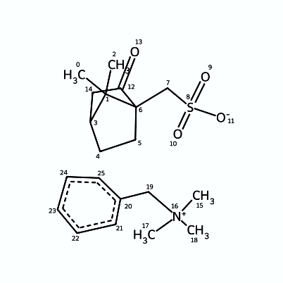 CC1(C)C2CCC1(CS(=O)(=O)[O-])C(=O)C2.C[N+](C)(C)Cc1ccccc1